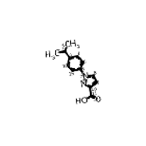 CC(C)c1ccc(-n2ccc(C(=O)O)n2)cc1